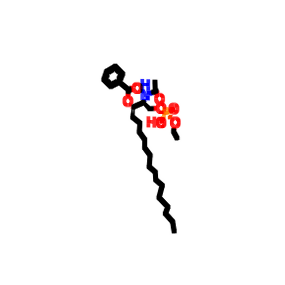 CCCCCCCCCCCCCCC[C@@H](OC(=O)c1ccccc1)[C@H](COP(=O)(O)OCC)NC(C)=O